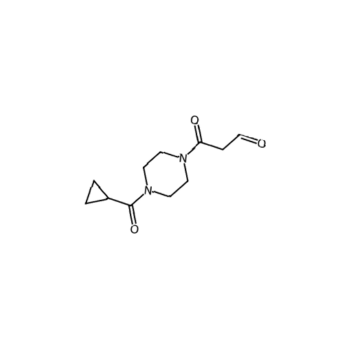 O=CCC(=O)N1CCN(C(=O)C2CC2)CC1